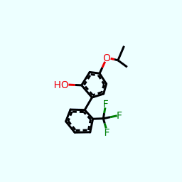 CC(C)Oc1ccc(-c2ccccc2C(F)(F)F)c(O)c1